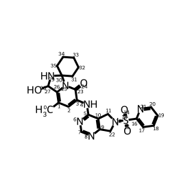 Cc1cc(Nc2ncnc3c2CN(S(=O)(=O)c2ccccn2)C3)c(=O)n2c1C(O)NC21CCCCC1